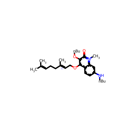 CCCCNc1ccc2c(OC/C=C(\C)CCC=C(C)C)c(OCCCC)c(=O)n(C)c2c1